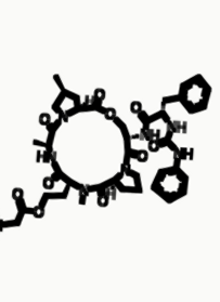 C[C@H]1C[C@H]2C(=O)OC[C@H](NC(=O)[C@H](Cc3ccccc3)NC(=O)Nc3ccccc3)C(=O)N3CCC[C@H]3C(=O)N(C)[C@@H](CCOC(=O)CN(C)C)C(=O)N[C@@H](C)C(=O)N2C1